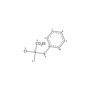 CCOC(=O)C(C)(Cl)Sc1ccccc1